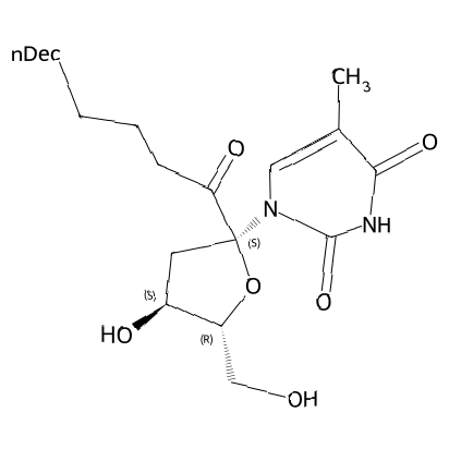 CCCCCCCCCCCCCC(=O)[C@]1(n2cc(C)c(=O)[nH]c2=O)C[C@H](O)[C@@H](CO)O1